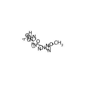 CCOc1cncc(-n2cnc(C(=O)N3CCC[C@@H]3c3ccnc(NS(=O)(=O)C4CC4)n3)c2)n1